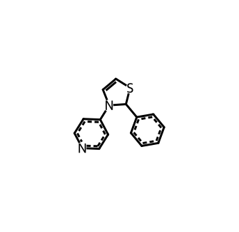 C1=CN(c2ccncc2)C(c2ccccc2)S1